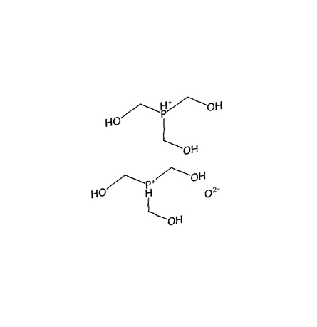 OC[PH+](CO)CO.OC[PH+](CO)CO.[O-2]